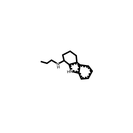 CCCNC1CCCc2c1[nH]c1ccccc21